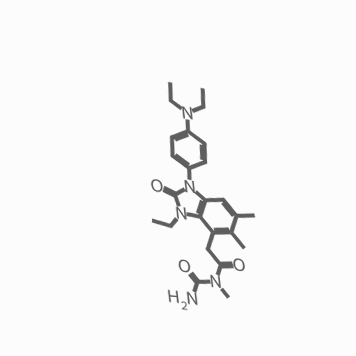 CCN(CC)c1ccc(-n2c(=O)n(CC)c3c(CC(=O)N(C)C(N)=O)c(C)c(C)cc32)cc1